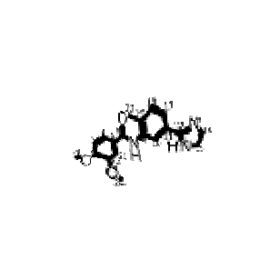 COc1ccc(C(=O)Nc2cc(-c3ncc[nH]3)ccc2C)cc1OC